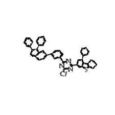 Clc1nc(-c2cccc(-c3ccc4ccc(-c5ccccc5)c(-c5ccccc5)c4c3)c2)nc(-c2cc(-c3ccccc3)c3c(c2)sc2ccccc23)n1